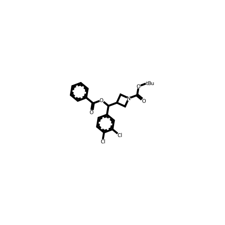 CC(C)(C)OC(=O)N1CC(C(OC(=O)c2ccccc2)c2ccc(Cl)c(Cl)c2)C1